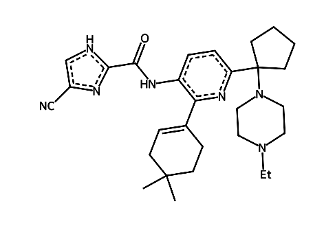 CCN1CCN(C2(c3ccc(NC(=O)c4nc(C#N)c[nH]4)c(C4=CCC(C)(C)CC4)n3)CCCC2)CC1